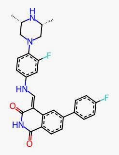 C[C@@H]1CN(c2ccc(N/C=C3\C(=O)NC(=O)c4ccc(-c5ccc(F)cc5)cc43)cc2F)C[C@H](C)N1